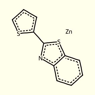 [Zn].c1csc(-c2nc3ccccc3s2)c1